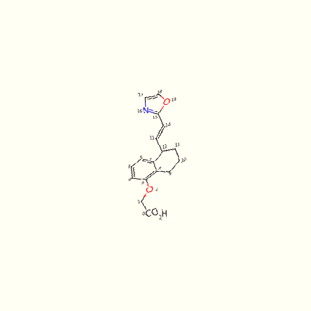 O=C(O)COc1cccc2c1CCCC2C=Cc1ncco1